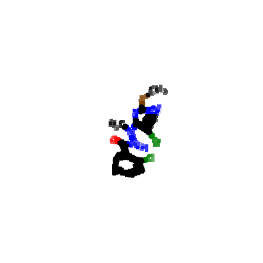 CSc1ncc(Br)c(N(C)NC(=O)c2ccccc2Cl)n1